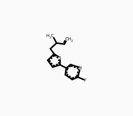 C=CC(C)Cc1ccc(-c2ccc(F)nc2)s1